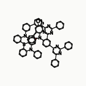 Cc1ccc2c(c1)c1ccccc1n2-c1ccc(-c2cc(-c3ccccc3)nc(-c3ccccc3)n2)cc1-c1nc(-c2ccccc2)nc(-c2cccc(-c3cccc(N4c5ccccc5B5c6ccccc6N(c6ccccc6)c6cccc4c65)c3)c2)n1